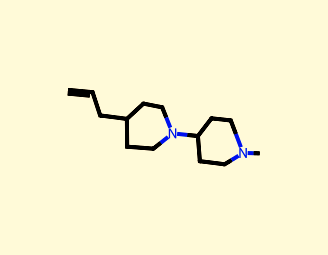 C=CCC1CCN(C2CCN(C)CC2)CC1